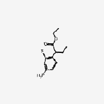 CCOC(=O)C(CC)c1ccc(P)cc1F